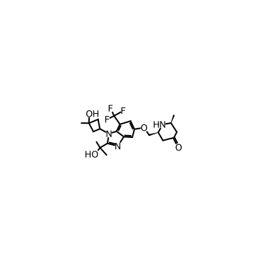 C[C@H]1CC(=O)C[C@@H](COc2cc(C(F)(F)F)c3c(c2)nc(C(C)(C)O)n3C2CC(C)(O)C2)N1